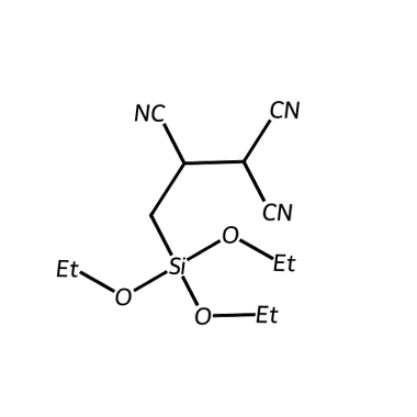 CCO[Si](CC(C#N)C(C#N)C#N)(OCC)OCC